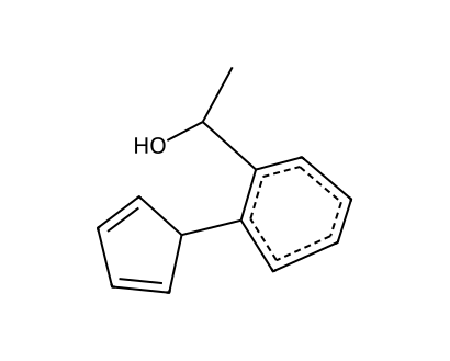 CC(O)c1ccccc1C1C=CC=C1